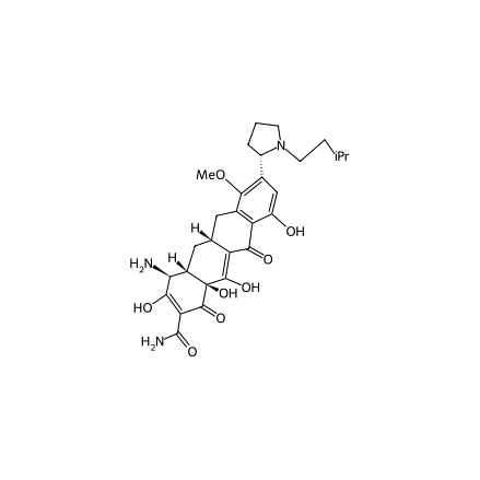 COc1c([C@@H]2CCCN2CCC(C)C)cc(O)c2c1C[C@H]1C[C@H]3[C@H](N)C(O)=C(C(N)=O)C(=O)[C@@]3(O)C(O)=C1C2=O